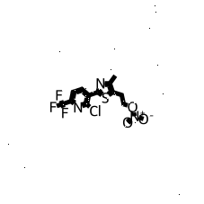 Cc1nc(-c2ccc(C(F)(F)F)nc2Cl)sc1CCO[N+](=O)[O-]